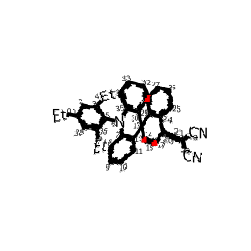 CCc1cc(CC)c(N2c3ccccc3C3(c4ccccc4C(=C(C#N)C#N)c4ccccc43)c3ccccc32)c(CC)c1